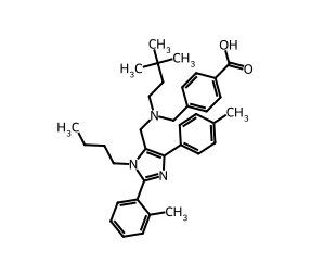 CCCCn1c(-c2ccccc2C)nc(-c2ccc(C)cc2)c1CN(CCC(C)(C)C)Cc1ccc(C(=O)O)cc1